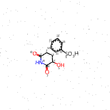 O=C1CCC(O)C(=O)N1.O=S(=O)(O)c1ccccc1